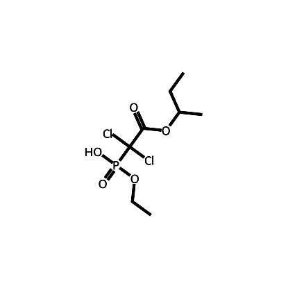 CCOP(=O)(O)C(Cl)(Cl)C(=O)OC(C)CC